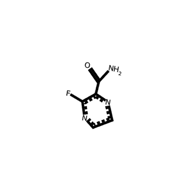 NC(=O)c1nccnc1F